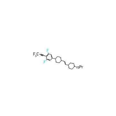 CCCC1CCC(/C=C/C2CCC(c3cc(F)c(C#CC(F)(F)F)c(F)c3)CC2)CC1